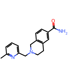 Cc1cccc(CN2CCc3cc(C(N)=O)ccc3C2)n1